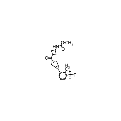 COC(=O)NC1CC(C(=O)N2CC3C(C2)C3c2cccc(C(F)(F)F)c2C)C1